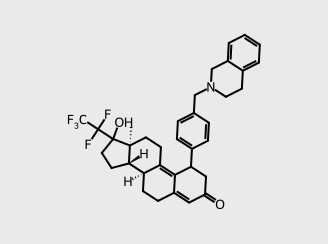 C[C@]12CCC3=C4C(=CC(=O)CC4c4ccc(CN5CCc6ccccc6C5)cc4)CC[C@H]3[C@@H]1CCC2(O)C(F)(F)C(F)(F)F